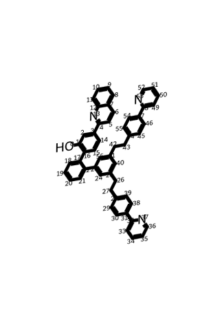 Oc1cc(-c2ccc3ccccc3n2)ccc1-c1ccccc1-c1cc(CCc2ccc(-c3ccccn3)cc2)cc(CCc2ccc(-c3ccccn3)cc2)c1